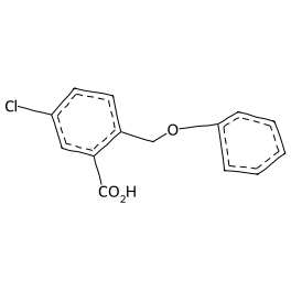 O=C(O)c1cc(Cl)ccc1COc1ccccc1